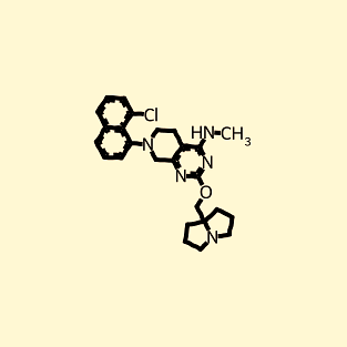 CNc1nc(OCC23CCCN2CCC3)nc2c1CCN(c1cccc3cccc(Cl)c13)C2